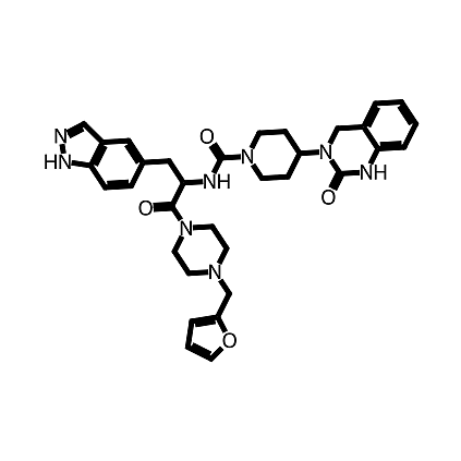 O=C(NC(Cc1ccc2[nH]ncc2c1)C(=O)N1CCN(Cc2ccco2)CC1)N1CCC(N2Cc3ccccc3NC2=O)CC1